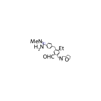 CCc1cc(CN(C)CC2CCCO2)c(C=O)cc1Cc1ccc(/C(N)=C/NC)cc1